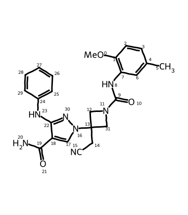 COc1ccc(C)cc1NC(=O)N1CC(CC#N)(n2cc(C(N)=O)c(Nc3ccccc3)n2)C1